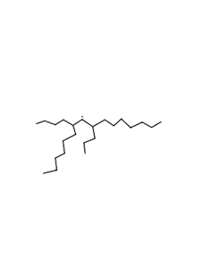 CCCCCCCC([CH]C(CCCC)CCCCCC)CCC